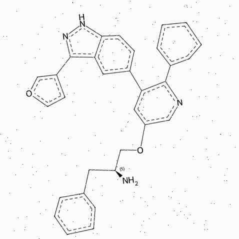 N[C@H](COc1cnc(-c2ccccc2)c(-c2ccc3[nH]nc(-c4ccoc4)c3c2)c1)Cc1ccccc1